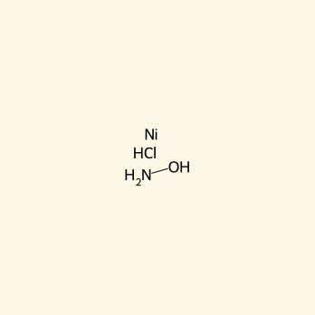 Cl.NO.[Ni]